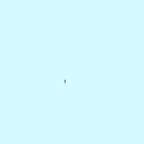 Clc1ncc(Cl)c(CC[C@H]2CCCO2)n1